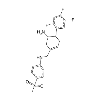 CS(=O)(=O)c1ccc(NCC2=CCC(c3cc(F)c(F)cc3F)C(N)C2)cc1